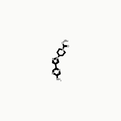 CC(C)(C)OC(=O)N1CCC(n2cc(-c3cnc(N)cn3)cn2)CC1